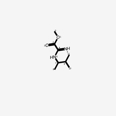 COC(=O)C(=N)NC(C)C(C)C